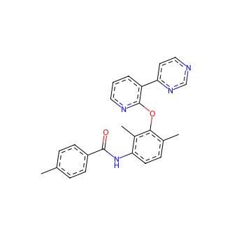 Cc1ccc(C(=O)Nc2ccc(C)c(Oc3ncccc3-c3ccncn3)c2C)cc1